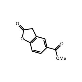 COC(=O)c1ccc2c(c1)CC(=O)O2